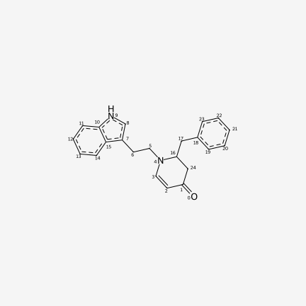 O=C1C=CN(CCc2c[nH]c3ccccc23)C(Cc2ccccc2)C1